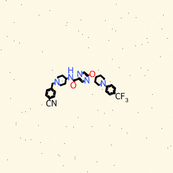 N#Cc1ccc(CN2CCC(NC(=O)c3cnc(OC4CCN(c5ccc(C(F)(F)F)cc5)CC4)cn3)CC2)cc1